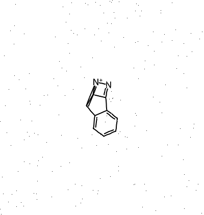 c1ccc2c(c1)C1=N[N+]3=C2C13